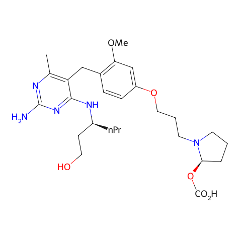 CCC[C@@H](CCO)Nc1nc(N)nc(C)c1Cc1ccc(OCCCN2CCC[C@H]2OC(=O)O)cc1OC